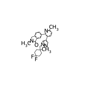 Cc1ccc(-c2cnn(CC3(C)CCC(F)(F)CC3)c2)c(-c2ccc3c(c2)C(=O)N(C)C3)n1